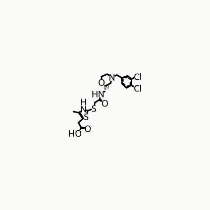 CC1=C(CC(=O)O)SC(SCC(=O)NC[C@H]2CN(Cc3ccc(Cl)c(Cl)c3)CCO2)N1